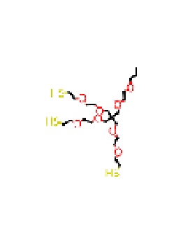 CCCOCCOCC(COCCOCCS)(COCCOCCS)COCCOCCS